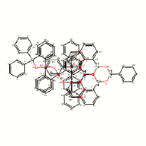 c1ccc([SiH](O[SiH](O[SiH](O[Si](O[Si](O[Si](O[Si](c2ccccc2)(c2ccccc2)c2ccccc2)(c2ccccc2)c2ccccc2)(c2ccccc2)c2ccccc2)(c2ccccc2)c2ccccc2)c2ccccc2)c2ccccc2)O[SiH](O[SiH](O[Si](c2ccccc2)(c2ccccc2)c2ccccc2)c2ccccc2)c2ccccc2)cc1